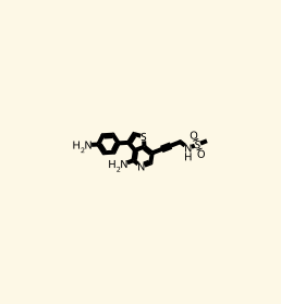 CS(=O)(=O)NCC#Cc1cnc(N)c2c(-c3ccc(N)cc3)csc12